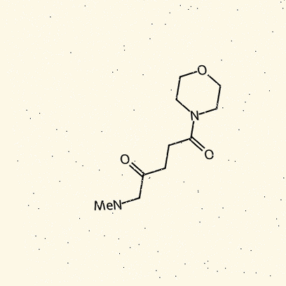 CNCC(=O)CCC(=O)N1CCOCC1